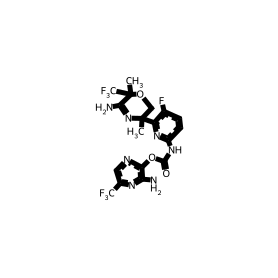 CC1(c2nc(NC(=O)Oc3ncc(C(F)(F)F)nc3N)ccc2F)COC(C)(C(F)(F)F)C(N)=N1